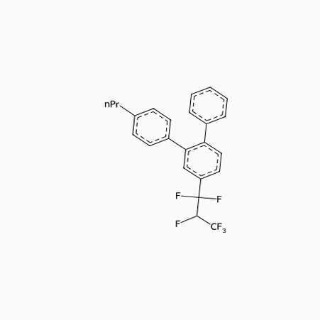 CCCc1ccc(-c2cc(C(F)(F)C(F)C(F)(F)F)ccc2-c2ccccc2)cc1